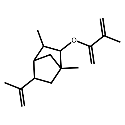 C=C(C)C(=C)OC1C(C)C2CC1(C)CC2C(=C)C